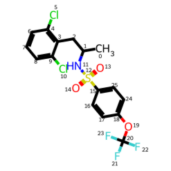 CC(Cc1c(Cl)cccc1Cl)NS(=O)(=O)c1ccc(OC(F)(F)F)cc1